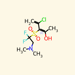 C=C(Cl)/C(=C(\C)O)S(=O)(=O)C(F)(F)CN(C)C